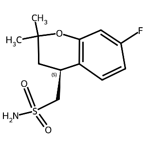 CC1(C)C[C@H](CS(N)(=O)=O)c2ccc(F)cc2O1